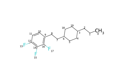 CCCC1CCC(CCc2ccc(F)c(F)c2F)CC1